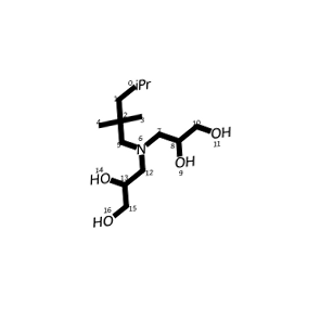 CC(C)CC(C)(C)CN(CC(O)CO)CC(O)CO